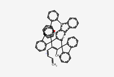 C=C/C=C\C1=C(C)C2(c3ccccc3-c3ccccc32)c2cc3c4ccccc4n(-c4ccccc4-c4ccccc4)c3cc2C12c1ccccc1-c1ccccc12